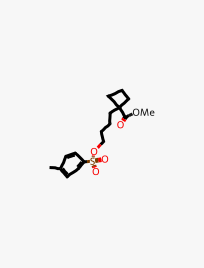 COC(=O)C1(CCCCOS(=O)(=O)c2ccc(C)cc2)CCC1